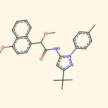 COc1ccc(C(OC)C(=O)Nc2cc(C(C)(C)C)nn2-c2ccc(C)cc2)c2ccccc12